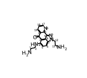 NCCNc1ccc2c3c(nn2CCN)-c2ncccc2C(=O)c13